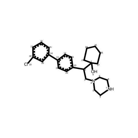 OC1(C(CN2CCNCC2)c2ccc(-c3cccc(Cl)c3)cc2)CCCCC1